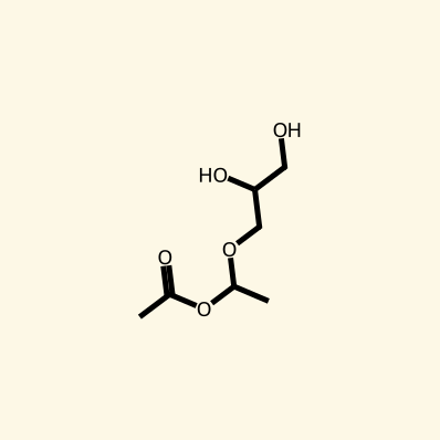 CC(=O)OC(C)OCC(O)CO